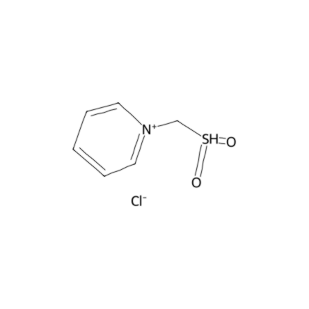 O=[SH](=O)C[n+]1ccccc1.[Cl-]